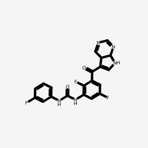 O=C(Nc1cccc(F)c1)Nc1cc(F)cc(C(=O)C2=CNC3N=CN=CC23)c1F